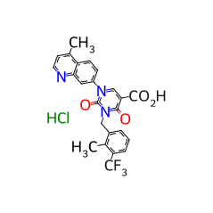 Cc1c(Cn2c(=O)c(C(=O)O)cn(-c3ccc4c(C)ccnc4c3)c2=O)cccc1C(F)(F)F.Cl